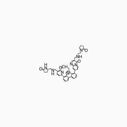 COc1nc(-c2cccc(-c3cccc(-c4ccn5c(=O)c(CNCCN6CCCC6=O)cnc5c4)c3Cl)c2Cl)ccc1CNC[C@H]1CCC(=O)N1